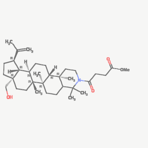 C=C(C)[C@@H]1CC[C@]2(CO)CC[C@]3(C)[C@H](CC[C@@H]4[C@@]5(C)CCN(C(=O)CCC(=O)OC)C(C)(C)C5CC[C@]43C)[C@@H]12